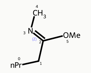 CCCC/C(=N/C)OC